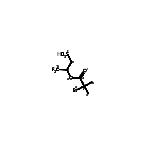 CCC(C)(C)C(=O)OC(CS(=O)(=O)O)C(F)(F)F